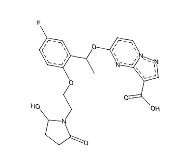 CC(Oc1ccn2ncc(C(=O)O)c2n1)c1cc(F)ccc1OCCN1C(=O)CCC1O